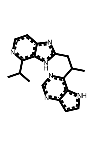 CC(C)c1nccc2nc(CC(C)c3ncnc4cc[nH]c34)[nH]c12